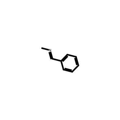 CN=Cc1ccccc1